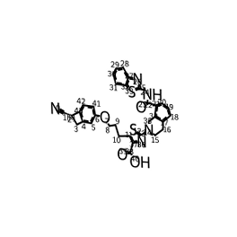 N#C[C@@H]1Cc2cc(OCCCc3sc(N4CCc5cccc(C(=O)Nc6nc7ccccc7s6)c5C4)nc3C(=O)O)ccc21